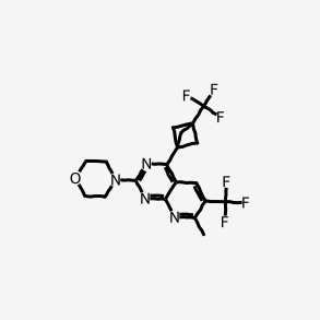 Cc1nc2nc(N3CCOCC3)nc(C34CC(C(F)(F)F)(C3)C4)c2cc1C(F)(F)F